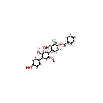 COc1cc(-c2ccc(O)cc2)c(OC)c(O)c1-c1ccc(OCc2ccccc2)c(Cl)c1